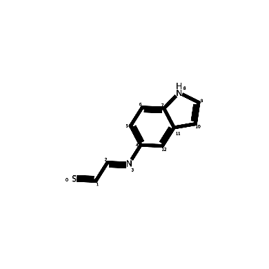 S=CC=Nc1ccc2[nH]ccc2c1